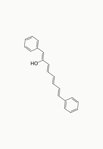 OC(C=CC=CC=Cc1ccccc1)=Cc1ccccc1